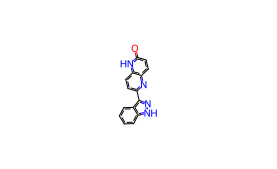 O=c1ccc2nc(-c3n[nH]c4ccccc34)ccc2[nH]1